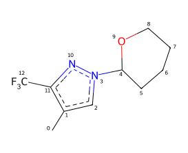 Cc1cn(C2CCCCO2)nc1C(F)(F)F